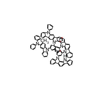 Cc1cc2c(cc1N(c1ccccc1)c1ccccc1)c1ccccc1n2-c1cc(-c2cc(-n3c4ccccc4c4ccc5c6ccccc6[nH]c5c43)cc(-n3c4ccccc4c4ccc5c6ccccc6n(-c6ccccc6)c5c43)c2)cc(-n2c3ccccc3c3cc4c(cc32)c2ccccc2n4-c2ccccc2)c1